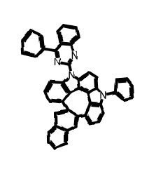 c1ccc(-c2nc(-n3c4cccc5c6cc7ccccc7cc6c6cccc7c6c6c(c54)c3ccc6n7-c3ccccc3)nc3ccccc23)cc1